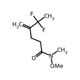 C=C(CCC(=O)N(C)OC)C(C)(F)F